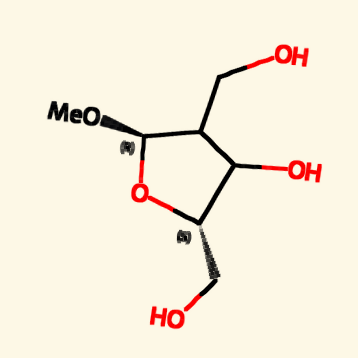 CO[C@@H]1O[C@@H](CO)C(O)C1CO